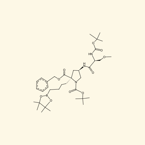 COC[C@H](NC(=O)OC(C)(C)C)C(=O)N[C@H]1CN(C(=O)OC(C)(C)C)[C@@](CCCCB2OC(C)(C)C(C)(C)O2)(C(=O)OCc2ccccc2)C1